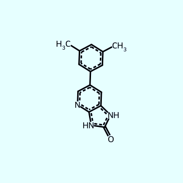 Cc1cc(C)cc(-c2cnc3[nH]c(=O)[nH]c3c2)c1